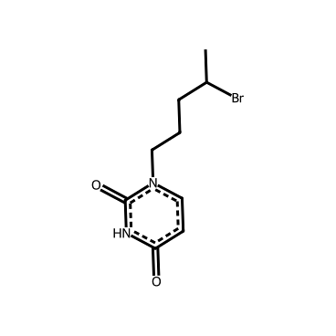 CC(Br)CCCn1ccc(=O)[nH]c1=O